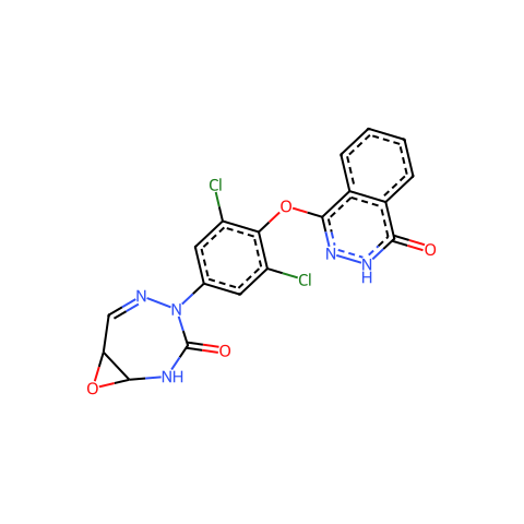 O=C1NC2OC2C=NN1c1cc(Cl)c(Oc2n[nH]c(=O)c3ccccc23)c(Cl)c1